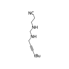 CC(C)(C)C#CCNCNCCC#N